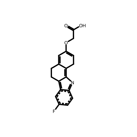 O=C(O)COC1=CCC2=C3N=c4ccc(F)cc4=C3CCC2=C1